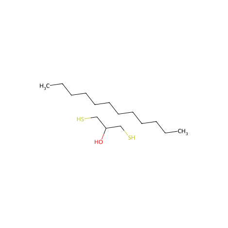 CCCCCCCCCCCC.OC(CS)CS